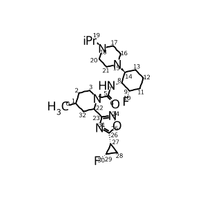 CC1CCN(C(=O)N[C@H]2[C@@H](F)CCC[C@@H]2N2CCN(C(C)C)CC2)C(c2noc([C@@H]3C[C@@H]3F)n2)C1